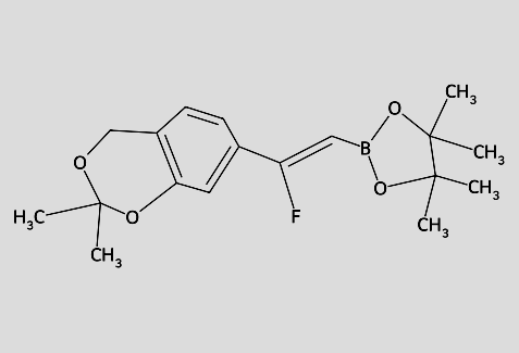 CC1(C)OCc2ccc(/C(F)=C/B3OC(C)(C)C(C)(C)O3)cc2O1